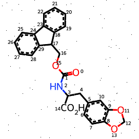 O=C(NC(Cc1ccc2c(c1)OCO2)C(=O)O)OCC1c2ccccc2-c2ccccc21